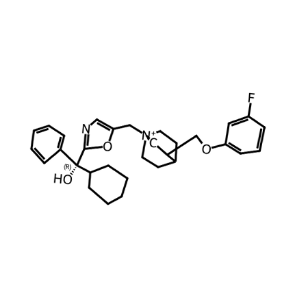 O[C@](c1ccccc1)(c1ncc(C[N+]23CCC(CC2)C(COc2cccc(F)c2)C3)o1)C1CCCCC1